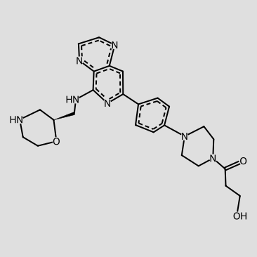 O=C(CCO)N1CCN(c2ccc(-c3cc4nccnc4c(NC[C@@H]4CNCCO4)n3)cc2)CC1